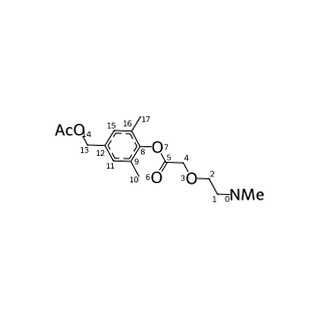 CNCCOCC(=O)Oc1c(C)cc(COC(C)=O)cc1C